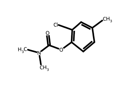 Cc1ccc(OC(=O)N(C)C)c(Cl)c1